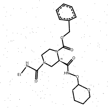 CCNC(=O)N1CCN(C(=O)OCc2ccccc2)[C@@H](C(=O)NOC2CCCCO2)C1